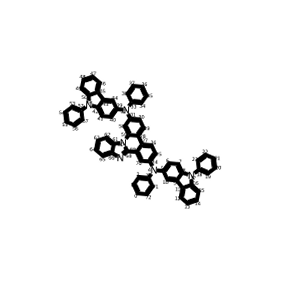 c1ccc(N(c2ccc3c(c2)c2ccccc2n3-c2ccccc2)c2ccc3c4ccc(N(c5ccccc5)c5ccc6c(c5)c5ccccc5n6-c5ccccc5)cc4n4c5ccccc5nc4c3c2)cc1